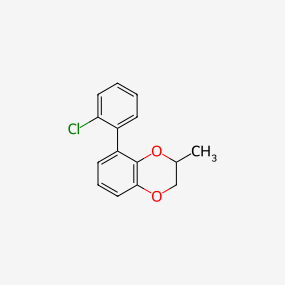 CC1COc2cccc(-c3ccccc3Cl)c2O1